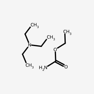 CCN(CC)CC.CCOC(N)=O